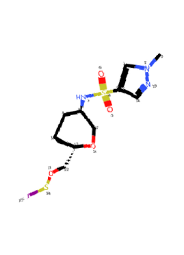 Cn1cc(S(=O)(=O)N[C@@H]2CC[C@@H](COSI)OC2)cn1